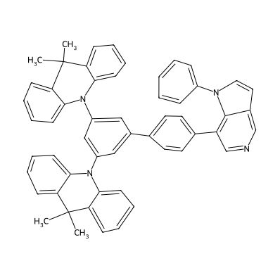 CC1(C)c2ccccc2N(c2cc(-c3ccc(-c4cncc5ccn(-c6ccccc6)c45)cc3)cc(N3c4ccccc4C(C)(C)c4ccccc43)c2)c2ccccc21